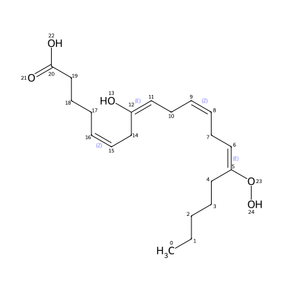 CCCCC/C(=C\C/C=C\C/C=C(/O)C/C=C\CCCC(=O)O)OO